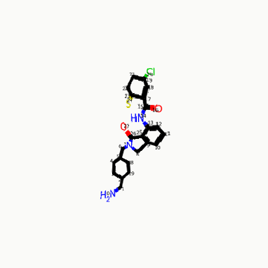 NCC1CCC(CN2Cc3cccc(NC(=O)C4=CC(Cl)=CCC4=S)c3C2=O)CC1